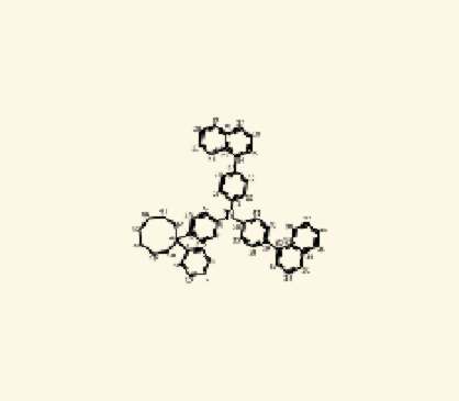 c1ccc(C2(c3ccc(N(c4ccc(-c5cccc6ccccc56)cc4)c4ccc(-c5cccc6ccccc56)cc4)cc3)CCCCCCC2)cc1